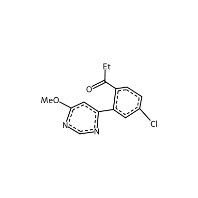 CCC(=O)c1ccc(Cl)cc1-c1cc(OC)ncn1